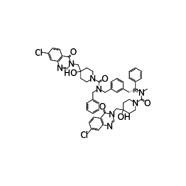 CN(C(=O)N1CCC(O)(Cn2cnc3cc(Cl)ccc3c2=O)CC1)[C@H](Cc1cccc(CN(Cc2ccccc2)C(=O)N2CCC(O)(Cn3cnc4cc(Cl)ccc4c3=O)CC2)c1)c1ccccc1